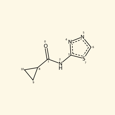 O=C(Nc1nncs1)C1CC1